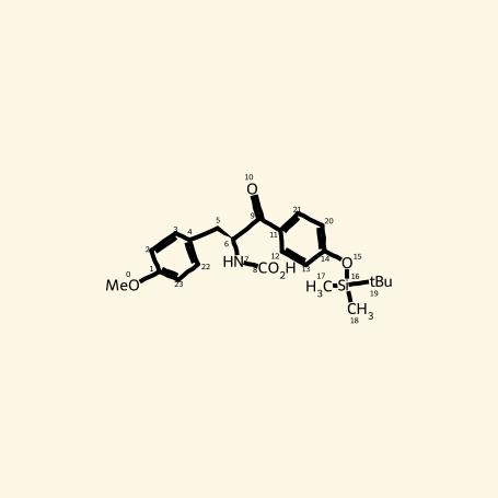 COc1ccc(C[C@H](NC(=O)O)C(=O)c2ccc(O[Si](C)(C)C(C)(C)C)cc2)cc1